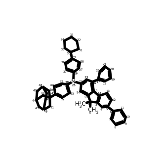 CC1(C)c2cc(-c3ccccc3)ccc2-c2c(-c3ccccc3)cc(N(c3ccc(C4CCCCC4)cc3)c3ccc(C45CC6CC(CC(C6)C4)C5)cc3)cc21